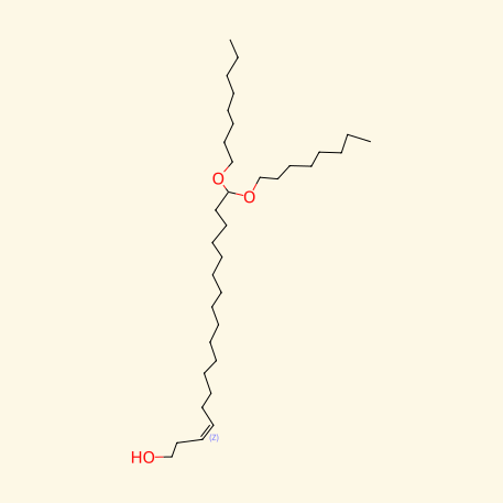 CCCCCCCCOC(CCCCCCCCCCCCC/C=C\CCO)OCCCCCCCC